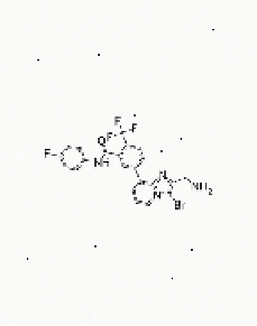 NCc1nc2c(-c3ccc(C(F)(F)F)c(C(=O)Nc4ccc(F)cc4)c3)cccn2c1Br